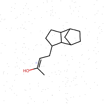 C/C(O)=C\CC1CCC2C3CCC(C3)C12